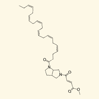 CC/C=C\C/C=C\C/C=C\C/C=C\C/C=C\C/C=C\CCC(=O)N1CCC2CN(C(=O)C=CC(=O)OC)CC21